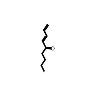 C=C/C=C/C(=O)CCCC